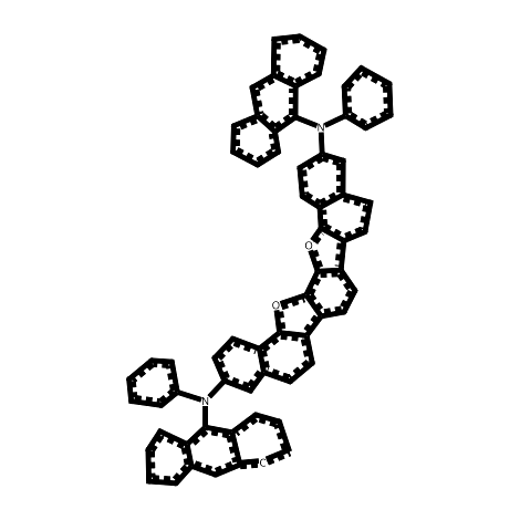 c1ccc(N(c2ccc3c(ccc4c5ccc6c7ccc8cc(N(c9ccccc9)c9c%10ccccc%10cc%10ccccc9%10)ccc8c7oc6c5oc34)c2)c2c3ccccc3cc3ccccc23)cc1